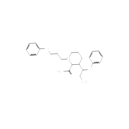 CCC(Oc1ccccc1)C1CCCN(CCCOc2ccccc2)C1C(=O)O